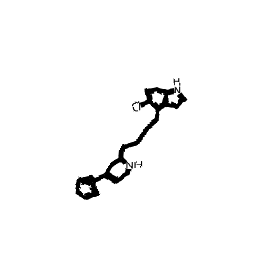 Clc1ccc2[nH]ccc2c1CCCCC1CC(c2ccccc2)=CCN1